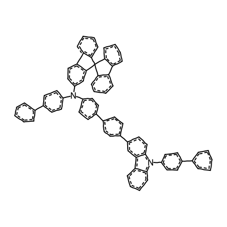 c1ccc(-c2ccc(N(c3ccc(-c4ccc(-c5ccc6c(c5)c5ccccc5n6-c5ccc(-c6ccccc6)cc5)cc4)cc3)c3ccc4c(c3)C3(c5ccccc5-c5ccccc53)c3ccccc3-4)cc2)cc1